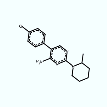 CC1CCCCN1c1ncc(-c2ccc(Cl)cc2)c(N)n1